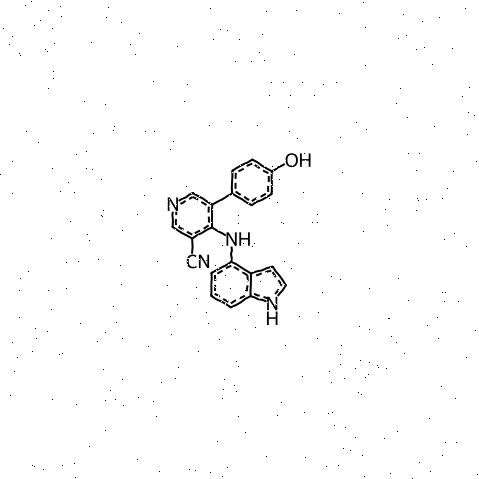 N#Cc1cncc(-c2ccc(O)cc2)c1Nc1cccc2[nH]ccc12